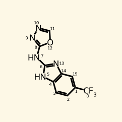 FC(F)(F)c1ccc2[nH]c(Nc3nnco3)nc2c1